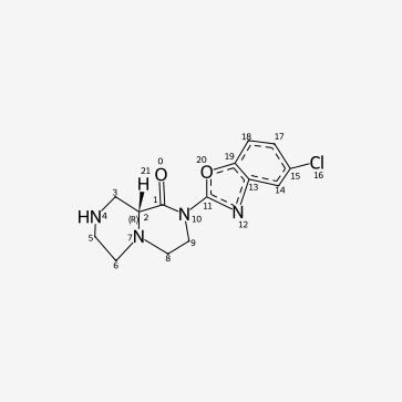 O=C1[C@H]2CNCCN2CCN1c1nc2cc(Cl)ccc2o1